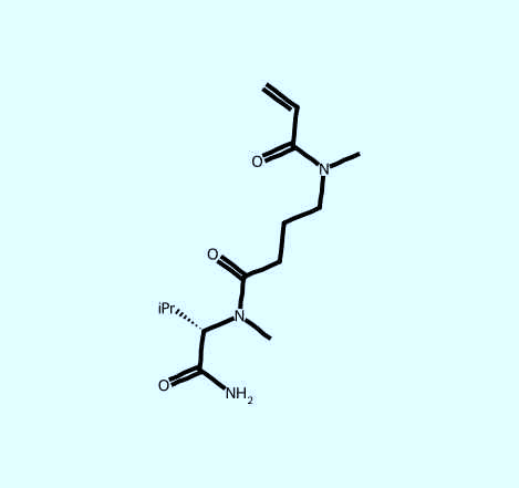 C=CC(=O)N(C)CCCC(=O)N(C)[C@H](C(N)=O)C(C)C